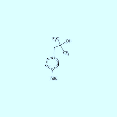 CCCCc1ccc(CC(O)(C(F)(F)F)C(F)(F)F)cc1